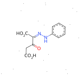 O=C(O)CC(=O)C(=NNc1ccccc1)C(=O)O